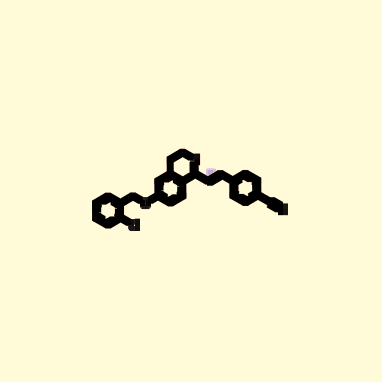 N#Cc1ccc(/C=C/C2=NCCc3cc(OCc4ccccc4Cl)ccc32)cc1